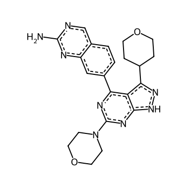 Nc1ncc2ccc(-c3nc(N4CCOCC4)nc4[nH]nc(C5CCOCC5)c34)cc2n1